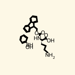 NCCCC[C@H](NC(=O)OCC1c2ccccc2-c2ccccc21)C(=O)O.OBc1ccccc1